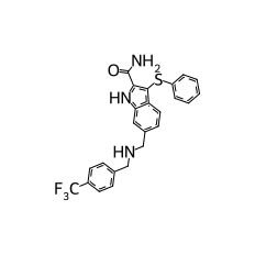 NC(=O)c1[nH]c2cc(CNCc3ccc(C(F)(F)F)cc3)ccc2c1Sc1ccccc1